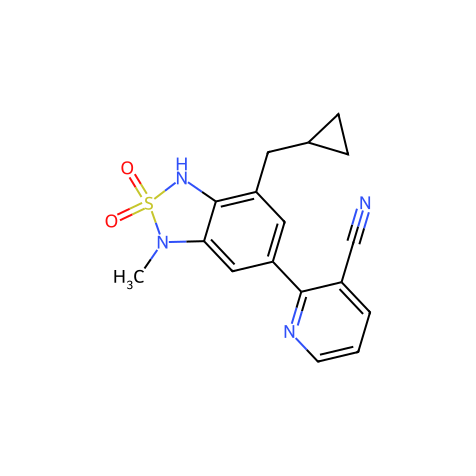 CN1c2cc(-c3ncccc3C#N)cc(CC3CC3)c2NS1(=O)=O